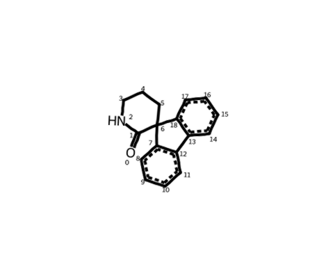 O=C1NCCCC12c1ccccc1-c1ccccc12